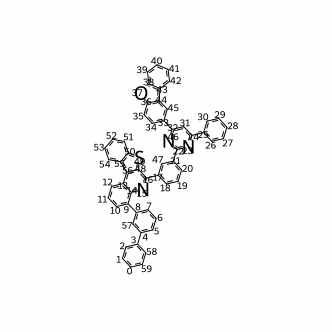 c1ccc(-c2cccc(-c3cccc4c3nc(-c3cccc(-c5nc(-c6ccccc6)cc(-c6ccc7oc8ccccc8c7c6)n5)c3)c3sc5ccccc5c34)c2)cc1